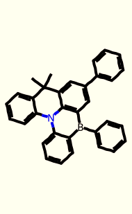 CC1(C)c2ccccc2N2c3ccccc3B(c3ccccc3)c3cc(-c4ccccc4)cc1c32